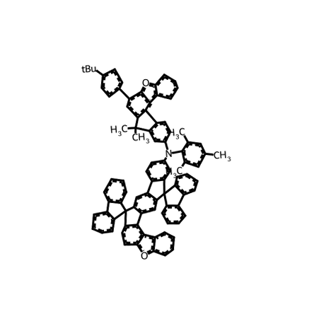 Cc1cc(C)c(N(c2ccc3c(c2)C(C)(C)c2cc(-c4ccc(C(C)(C)C)cc4)c4oc5ccccc5c4c2-3)c2ccc3c(c2)C2(c4ccccc4-c4ccccc42)c2cc4c(cc2-3)C2(c3ccccc3-c3ccccc32)c2ccc3oc5ccccc5c3c2-4)c(C)c1